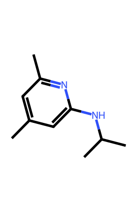 Cc1cc(C)nc(NC(C)C)c1